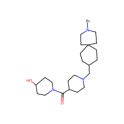 CC(=O)N1CCC2(CCC(CN3CCC(C(=O)N4CCC(O)CC4)CC3)CC2)CC1